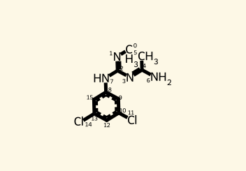 C/N=C(\N=C(/C)N)Nc1cc(Cl)cc(Cl)c1